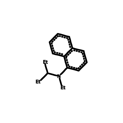 CCC(CC)N(CC)c1cccc2ccccc12